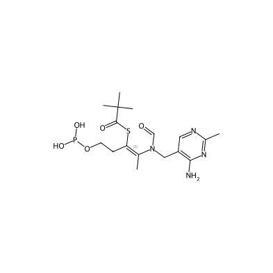 C/C(=C(\CCOP(O)O)SC(=O)C(C)(C)C)N(C=O)Cc1cnc(C)nc1N